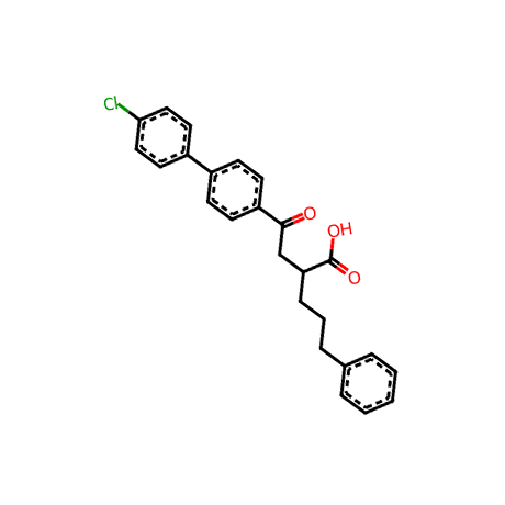 O=C(CC(CCCc1ccccc1)C(=O)O)c1ccc(-c2ccc(Cl)cc2)cc1